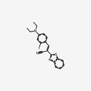 CCN(CC)c1ccc(/C=C(\C#N)c2nc3ccccc3s2)c(I)c1